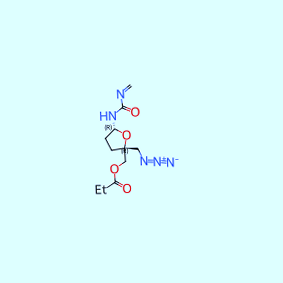 C=NC(=O)N[C@H]1CC[C@@](CN=[N+]=[N-])(COC(=O)CC)O1